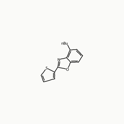 CCCCc1cccc2oc(-c3cccs3)nc12